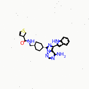 Nc1ncnn2c1c(-c1cc3ccccc3[nH]1)nc2[C@H]1CC[C@H](CNC(=O)C2C=CSC2)CC1